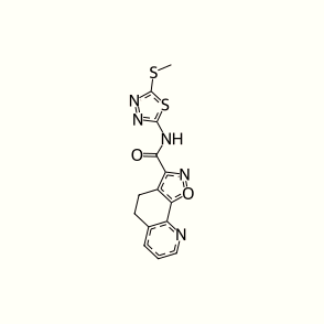 CSc1nnc(NC(=O)c2noc3c2CCc2cccnc2-3)s1